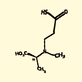 C[C@@H](C(=O)O)N(C)CCC(=O)S